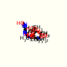 CC[C@H]1OC(=O)[C@H](C)C([C@H]2C[C@@](C)(OC)[C@@H](O)[C@H](C)O2)[C@H](C)[C@@H](O[C@@H]2O[C@H](C)C[C@H](N(C)CCc3cn(CCCCn4nnc(CO)c4I)nn3)[C@H]2O)[C@](C)(O)C[C@@H](C)CN(C)[C@H](C)[C@@H](O)[C@]1(C)O